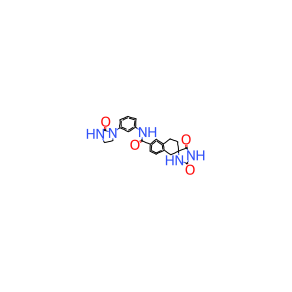 O=C1NC(=O)C2(CCc3cc(C(=O)Nc4cccc(N5CCNC5=O)c4)ccc3C2)N1